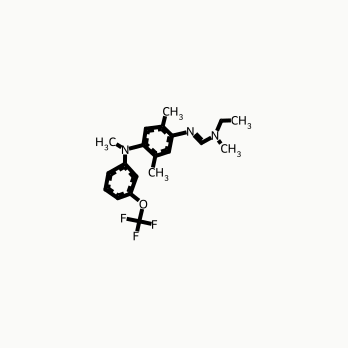 CCN(C)C=Nc1cc(C)c(N(C)c2cccc(OC(F)(F)F)c2)cc1C